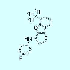 [2H]C([2H])([2H])c1cccc2c1oc1c(Nc3ccc(F)cc3)cccc12